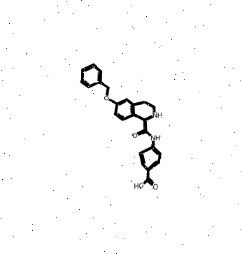 O=C(O)c1ccc(NC(=O)C2NCCc3cc(OCc4ccccc4)ccc32)cc1